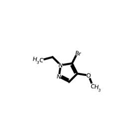 CCn1n[c]c(OC)c1Br